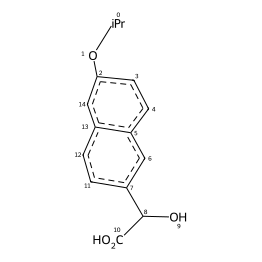 CC(C)Oc1ccc2cc(C(O)C(=O)O)ccc2c1